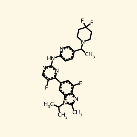 Cc1nc2c(F)cc(-c3nc(Nc4ccc(C(C)N5CCC(F)(F)CC5)cn4)ncc3F)cc2n1C(C)C